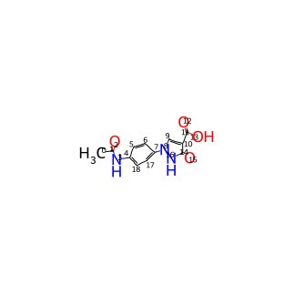 CC(=O)Nc1ccc(-n2cc(C(=O)O)c(=O)[nH]2)cc1